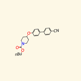 CCCCOC(=O)N1CCC(Oc2ccc(-c3ccc(C#N)cc3)cc2)CC1